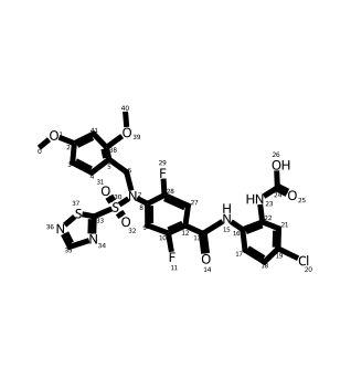 COc1ccc(CN(c2cc(F)c(C(=O)Nc3ccc(Cl)cc3NC(=O)O)cc2F)S(=O)(=O)c2ncns2)c(OC)c1